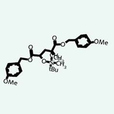 C=C(CC(O[Si](C)(C)C(C)(C)C)C(=O)OCc1ccc(OC)cc1)C(=O)OCc1ccc(OC)cc1